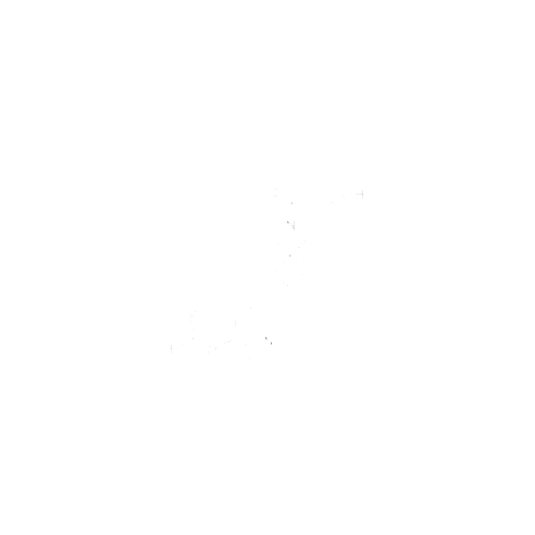 CC[C@H](CO)C(=O)N1CC2(CC(Cc3ccc(OC(F)F)c(C)n3)C2)C1